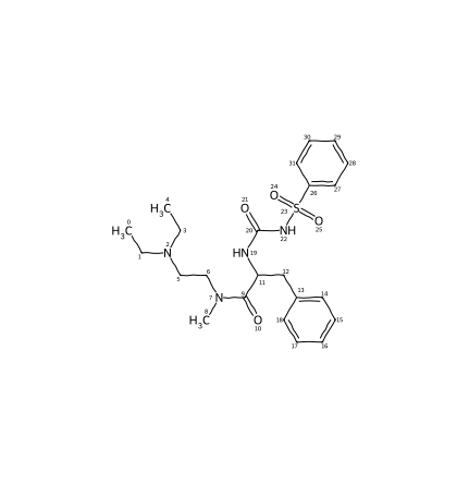 CCN(CC)CCN(C)C(=O)C(Cc1ccccc1)NC(=O)NS(=O)(=O)c1ccccc1